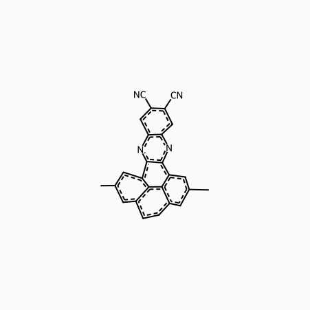 Cc1cc2ccc3cc(C)cc4c5nc6cc(C#N)c(C#N)cc6nc5c(c1)c2c34